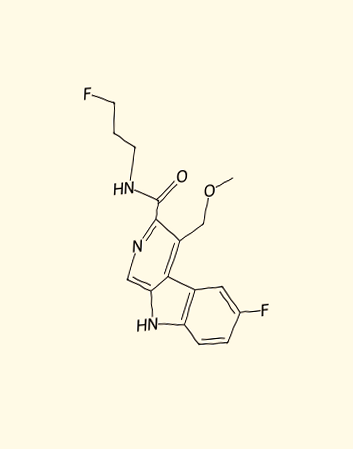 COCc1c(C(=O)NCCCF)ncc2[nH]c3ccc(F)cc3c12